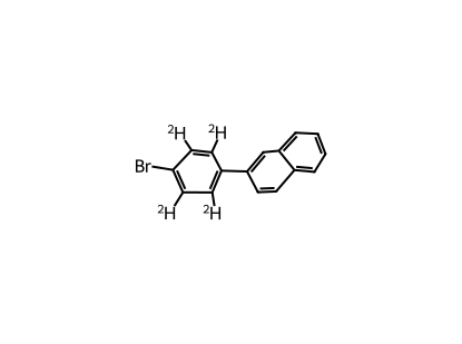 [2H]c1c([2H])c(-c2ccc3ccccc3c2)c([2H])c([2H])c1Br